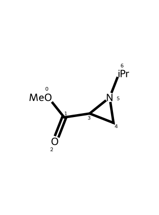 COC(=O)C1CN1C(C)C